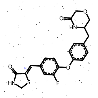 O=C1COCC(Cc2ccc(Oc3ccc(/C=C4\SCNC4=O)cc3F)cc2)N1